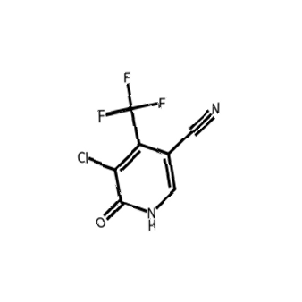 N#Cc1c[nH]c(=O)c(Cl)c1C(F)(F)F